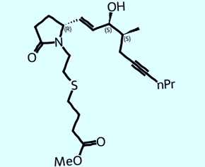 CCCC#CC[C@H](C)[C@H](O)C=C[C@H]1CCC(=O)N1CCSCCCC(=O)OC